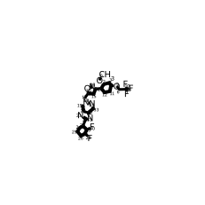 COc1cc(OCC(F)(F)F)ccc1-c1cc(Cn2cc3nc(-c4cccc(F)c4F)nc-3cn2)on1